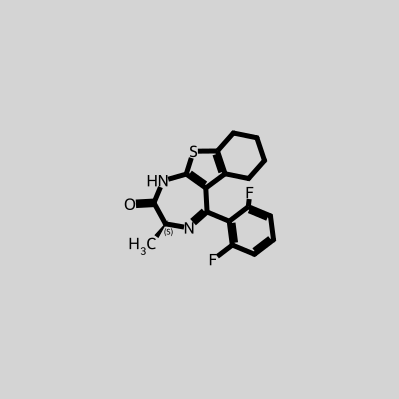 C[C@@H]1N=C(c2c(F)cccc2F)c2c(sc3c2CCCC3)NC1=O